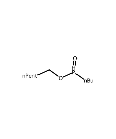 CCCCCCO[PH](=O)CCCC